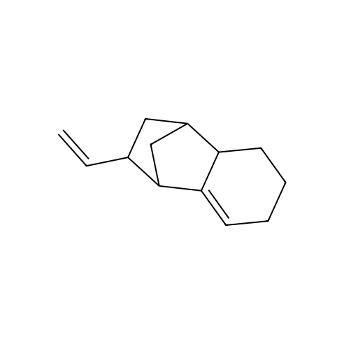 C=CC1CC2CC1C1=CCCCC12